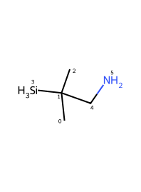 CC(C)([SiH3])CN